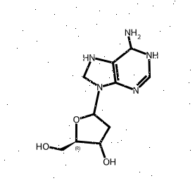 NC1NC=NC2=C1NCN2C1CC(O)[C@@H](CO)O1